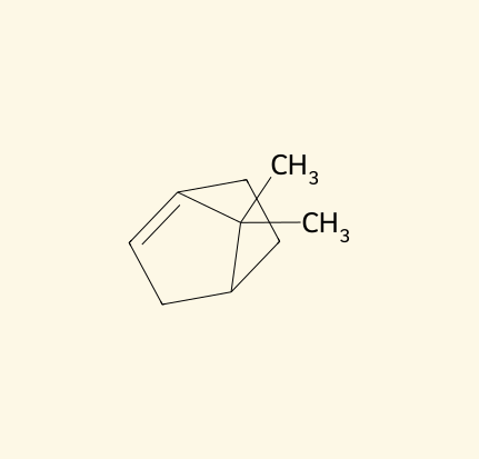 CC1(C)C2=CCC1CC2